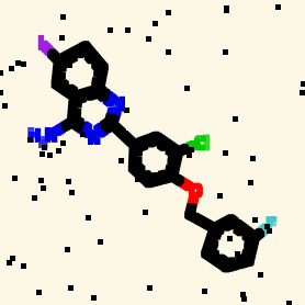 Nc1nc(-c2ccc(OCc3cccc(F)c3)c(Cl)c2)nc2ccc(I)cc12